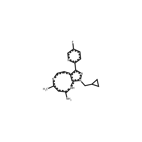 Cc1cc(N)[nH]c2c(ccn1)c(-c1ccc(F)cn1)nn2CC1CC1